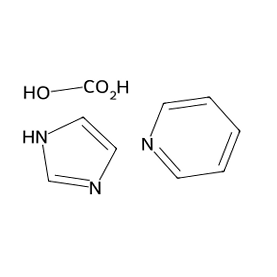 O=C(O)O.c1c[nH]cn1.c1ccncc1